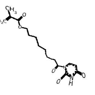 C=C(C)C(=O)OCCCCCCCC(=O)n1ccc(=O)[nH]c1=O